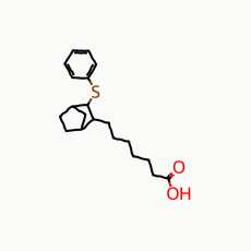 O=C(O)CCCCCCC1C2CCC(C2)C1Sc1ccccc1